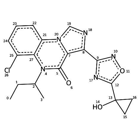 CCC(C)n1c(=O)c2c(-c3noc(C4(O)CC4)n3)ncn2c2cccc(Cl)c21